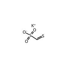 O=S(=O)([O-])C=S.[K+]